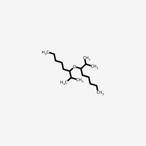 CCCCCC(OC(CCCCC)C(C)C)C(C)C